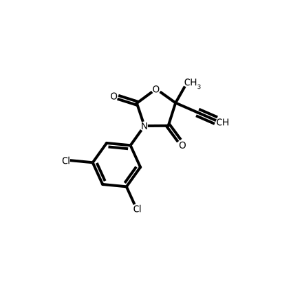 C#CC1(C)OC(=O)N(c2cc(Cl)cc(Cl)c2)C1=O